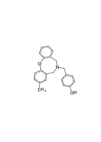 Cc1ccc2c(c1)CN(Cc1ccc(O)cc1)Cc1ccccc1O2